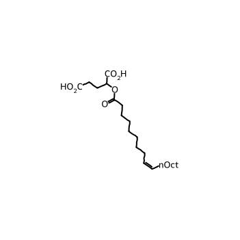 CCCCCCCC/C=C\CCCCCCCC(=O)OC(CCC(=O)O)C(=O)O